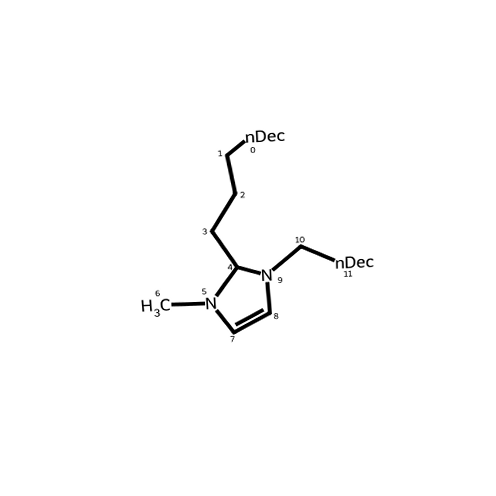 CCCCCCCCCCCCCC1N(C)C=CN1CCCCCCCCCCC